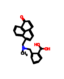 CN(Cc1ccccc1B(O)O)Cc1ccc2c3c(cccc13)C(=O)C=C2